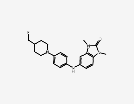 Cn1c(=O)n(C)c2cc(Nc3ccc(N4CCC(CF)CC4)cc3)ccc21